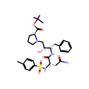 Cc1ccc(S(=O)(=O)N[C@@H](CC(N)=O)C(=O)N[C@@H](Cc2ccccc2)[C@H](O)CN2CCC[C@H]2C(=O)OC(C)(C)C)cc1